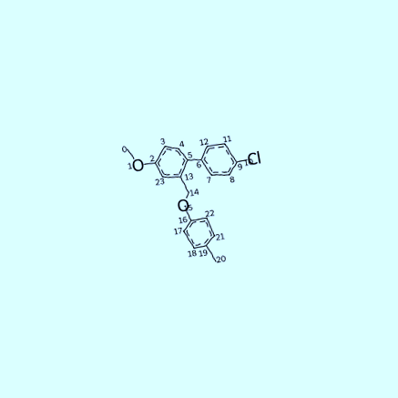 COc1ccc(-c2ccc(Cl)cc2)c(COc2ccc(C)cc2)c1